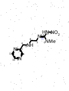 CN/C(=N\CCNCc1cnccn1)N[N+](=O)[O-]